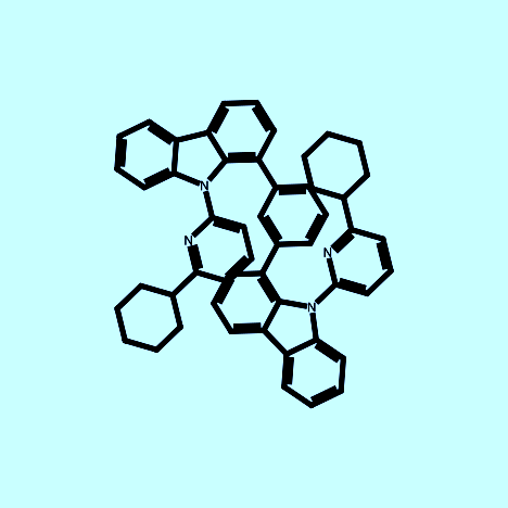 c1cc(-c2cccc3c4ccccc4n(-c4cccc(C5CCCCC5)n4)c23)cc(-c2cccc3c4ccccc4n(-c4cccc(C5CCCCC5)n4)c23)c1